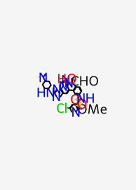 COc1ncc(Cl)cc1S(=O)(=O)Nc1ccc(F)c(-c2cc3cnc(N[C@H]4CC[C@H](N(C)C)CC4)nc3n3cnnc23)c1.O=CO